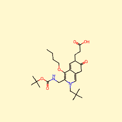 CCCCOC1=C(CNC(=O)OC(C)(C)C)N(CC(C)(C)C)C=C2CC(=O)C(CCC(=O)O)C=C21